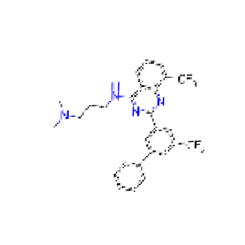 CN(C)CCCNc1nc(-c2cc(-c3ccccc3)cc(C(F)(F)F)c2)nc2c(C(F)(F)F)cccc12